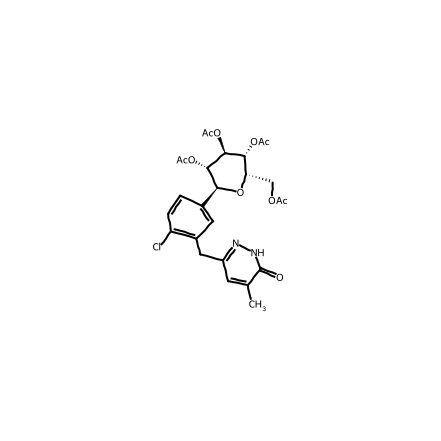 CC(=O)OC[C@@H]1O[C@@H](c2ccc(Cl)c(Cc3cc(C)c(=O)[nH]n3)c2)[C@H](OC(C)=O)[C@@H](OC(C)=O)[C@@H]1OC(C)=O